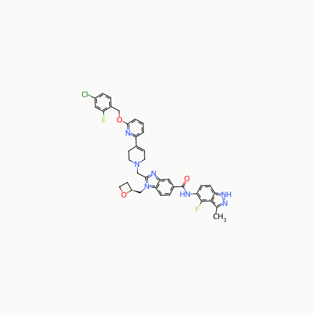 Cc1n[nH]c2ccc(NC(=O)c3ccc4c(c3)nc(CN3CC=C(c5cccc(OCc6ccc(Cl)cc6F)n5)CC3)n4C[C@@H]3CCO3)c(F)c12